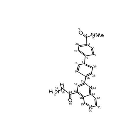 CNC(=O)c1ccc(-c2ccc(-c3cc(C(=O)NN)c4cnccc4n3)cc2)cc1